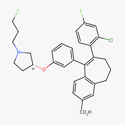 O=C(O)c1ccc2c(c1)CCCC(c1ccc(F)cc1Cl)=C2c1cccc(O[C@@H]2CCN(CCCF)C2)c1